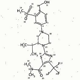 CC(C)C1CN(c2ccc(CO)c(S(C)(=O)=O)c2)CCN1c1nc(C(F)(F)F)c(C(=O)N(C)C)s1